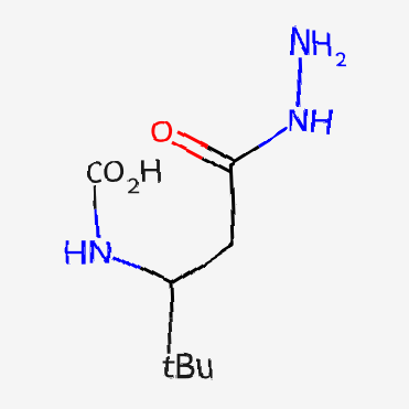 CC(C)(C)C(CC(=O)NN)NC(=O)O